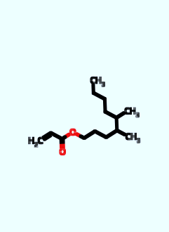 C=CC(=O)OCCCC(C)C(C)CCCC